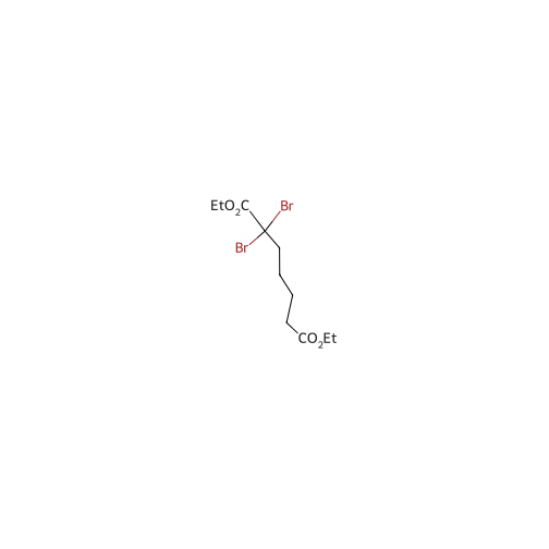 CCOC(=O)CCCCC(Br)(Br)C(=O)OCC